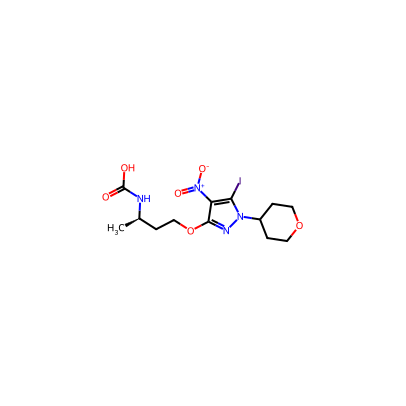 C[C@H](CCOc1nn(C2CCOCC2)c(I)c1[N+](=O)[O-])NC(=O)O